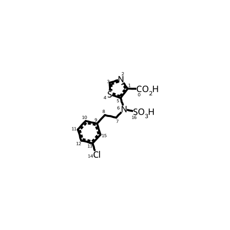 O=C(O)c1ncsc1N(CCc1cccc(Cl)c1)S(=O)(=O)O